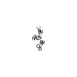 CCC(CC)n1cc(-c2nc(-c3cnn(CC(=O)OC)c3)cn3nccc23)cn1